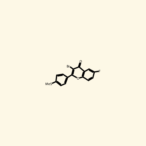 CSc1ccc(-c2oc3ccc(F)cc3c(=O)c2Br)cc1